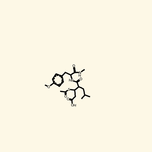 CNC(=O)C(Cc1ccc(OC)cc1)NC(=O)C(CC(C)C)C(CC(=O)O)SC(C)=O